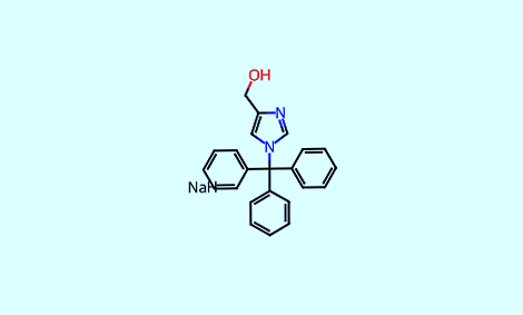 OCc1cn(C(c2ccccc2)(c2ccccc2)c2ccccc2)cn1.[NaH]